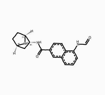 O=CNc1cccc2cc(C(=O)N[C@@H]3C[C@H]4CC[C@@H]3N4)ccc12